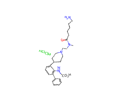 CN(CCN1CCC(c2cccc(-c3ccccc3)c2NC(=O)O)CC1)C(=O)CCCCCN.Cl.Cl